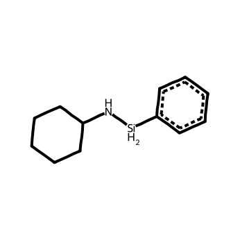 c1ccc([SiH2]NC2CCCCC2)cc1